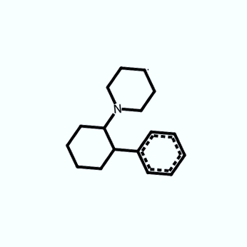 [CH]1CCN(C2CCCCC2c2ccccc2)CC1